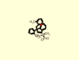 Cc1ccccc1CC1(c2ccccc2C)C=C([Si](C)(C)[Zr]([Cl])[Cl])c2ccccc21